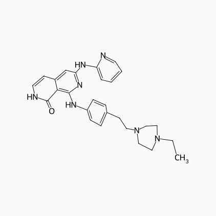 CCN1CCN(CCc2ccc(Nc3nc(Nc4ccccn4)cc4cc[nH]c(=O)c34)cc2)CC1